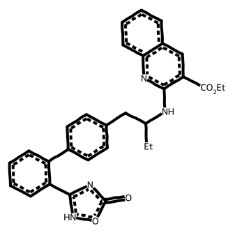 CCOC(=O)c1cc2ccccc2nc1NC(CC)Cc1ccc(-c2ccccc2-c2nc(=O)o[nH]2)cc1